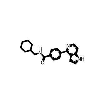 O=C(NCC1CCCCC1)c1ccc(-c2nccc3[nH]ccc23)cc1